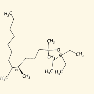 CCCCCCC[C](C)[C@H](C)CCCC(C)(C)O[Si](CC)(CC)CC